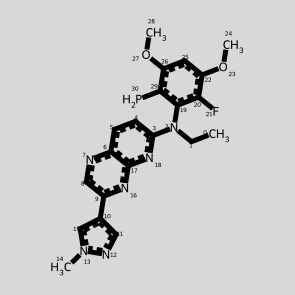 CCN(c1ccc2ncc(-c3cnn(C)c3)nc2n1)c1c(F)c(OC)cc(OC)c1P